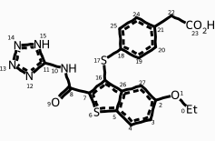 CCOc1ccc2sc(C(=O)Nc3nnn[nH]3)c(Sc3ccc(CC(=O)O)cc3)c2c1